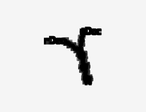 CCCCCCCCCCCCCCCCCCN(CCCCCCCCCCCCCCCCCC)c1ccc(/C=C/c2ccc(/C=C/c3ccncc3)cc2)cc1